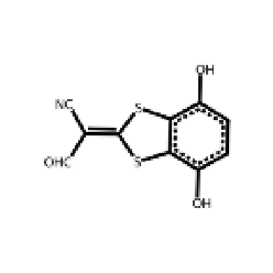 N#CC(C=O)=C1Sc2c(O)ccc(O)c2S1